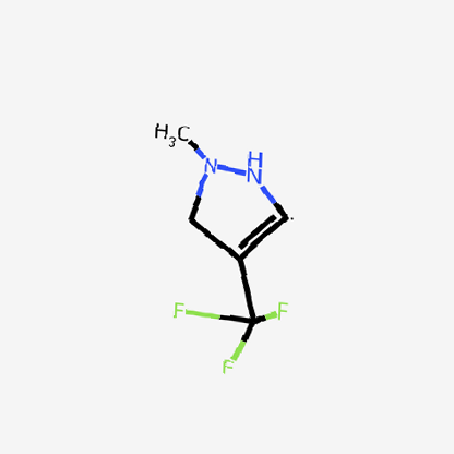 CN1CC(C(F)(F)F)=[C]N1